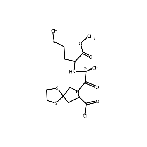 COC(=O)C(CCSC)N[C@@H](C)C(=O)N1CC2(CC1C(=O)O)SCCS2